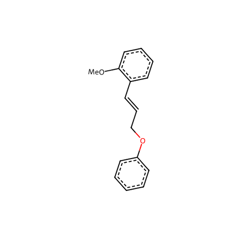 COc1ccccc1C=CCOc1ccccc1